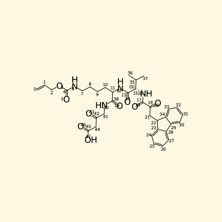 C=CCOC(=O)NCCCCC(NC(=O)[C@@H](NC(=O)C(=O)CC1c2ccccc2-c2ccccc21)C(C)C)C(=O)NCC(=O)CC(=O)O